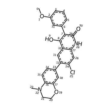 COc1cccc(-c2c(O)c3cc(-c4ccc5c(c4)OCCN5C)c(Cl)cc3[nH]c2=O)c1